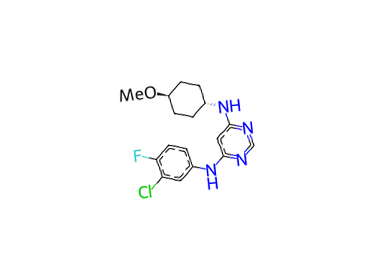 CO[C@H]1CC[C@H](Nc2cc(Nc3ccc(F)c(Cl)c3)ncn2)CC1